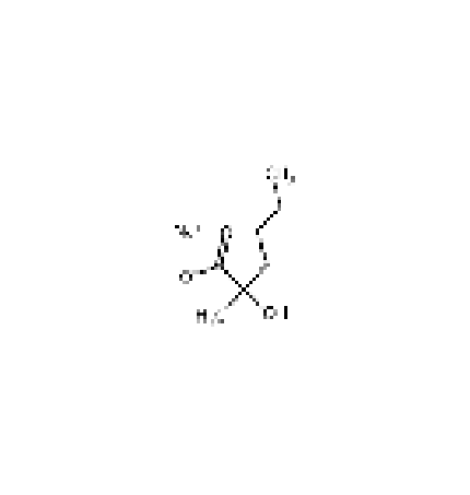 CCCCC(C)(O)C(=O)[O-].[Na+]